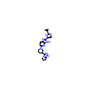 c1cc(-c2nc3ccc(N4CCCC(c5nnc6n5CCC6)C4)nc3[nH]2)nc(C2CC2)n1